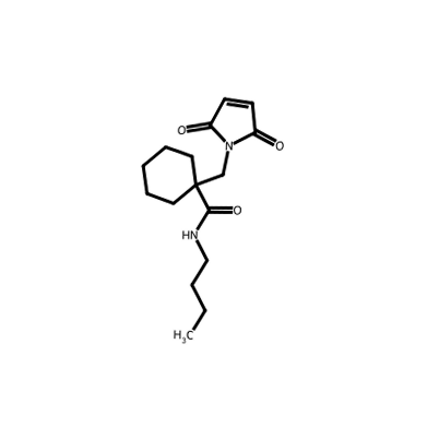 CCCCNC(=O)C1(CN2C(=O)C=CC2=O)CCCCC1